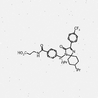 CCC[C@H](c1ccc(C(=O)NCCC(=O)O)cc1)N1C(=O)C(c2ccc(C(F)(F)F)cc2)=NC12CCC(C(C)C)CC2